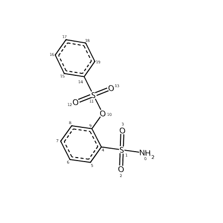 NS(=O)(=O)c1ccccc1OS(=O)(=O)c1ccccc1